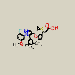 COc1ccc(F)c(-n2ncc(COc3cccc(C(CC(=O)O)SC4CC4)c3)c2-c2cc(C)cc(C)c2)c1